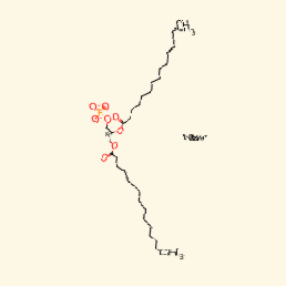 CCCCCCCCCCCCCC(=O)OC[C@H](COP(=O)([O-])[O-])OC(=O)CCCCCCCCCCCCC.[Na+].[Na+]